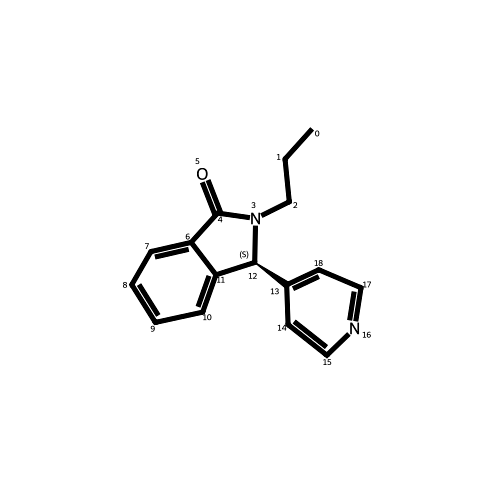 CCCN1C(=O)c2ccccc2[C@@H]1c1ccncc1